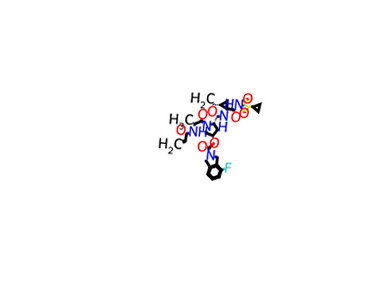 C=CC(=O)N[C@H](C)C(=O)N1C[C@H](OC(=O)N2Cc3cccc(F)c3C2)C[C@H]1C(=O)N[C@]1(C(=O)NS(=O)(=O)C2CC2)C[C@H]1C=C